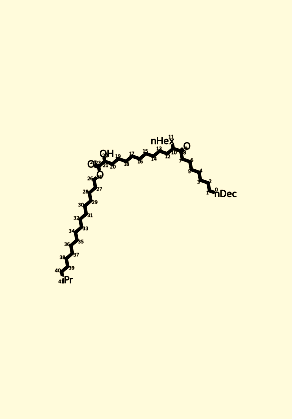 CCCCCCCCCCCCCCCCCC(=O)C(CCCCCC)CCCCCCCCCC(O)C(=O)OCCCCCCCCCCCCCCCC(C)C